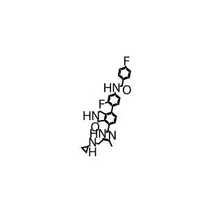 Cc1nc(-c2ccc(-c3ccc(NC(=O)c4ccc(F)cc4)cc3F)c3c2C(=O)NC3)[nH]c1CNC1CC1